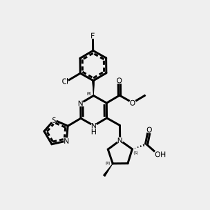 COC(=O)C1=C(CN2C[C@H](C)C[C@H]2C(=O)O)NC(c2nccs2)=N[C@H]1c1ccc(F)cc1Cl